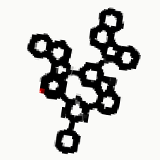 c1ccc(-c2nc(-c3ccccc3)nc(-c3cccc4oc5c(-n6c7ccccc7c7c8ccccc8ccc76)cc(-n6c7ccccc7c7c8ccccc8ccc76)cc5c34)n2)cc1